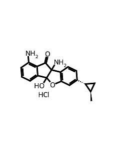 C[C@@H]1C[C@H]1c1ccc2c(c1)OC1(O)c3cccc(N)c3C(=O)C21N.Cl